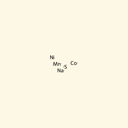 [Co].[Mn].[Na].[Ni].[S]